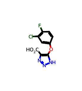 O=C(O)c1nn[nH]c1Oc1ccc(F)c(Cl)c1